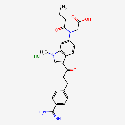 CCCC(=O)N(CC(=O)O)c1ccc2c(C(=O)CCc3ccc(C(=N)N)cc3)cn(C)c2c1.Cl